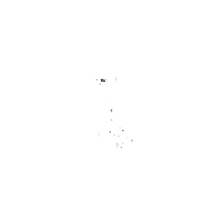 CCOP(=O)(CCOCCOCCOCCNc1c(N)c(Cl)nc2ccccc12)OCC